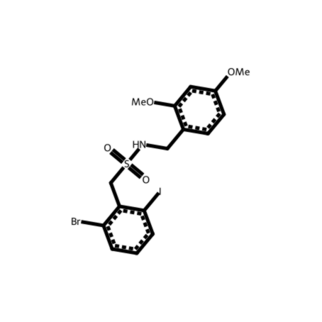 COc1ccc(CNS(=O)(=O)Cc2c(Br)cccc2I)c(OC)c1